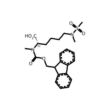 CN(C(=O)OCC1c2ccccc2-c2ccccc21)[C@@H](CCCCN(C)S(C)(=O)=O)C(=O)O